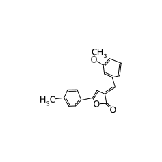 COc1cccc(/C=C2\C=C(c3ccc(C)cc3)OC2=O)c1